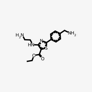 CCOC(=O)c1sc(-c2ccc(CN)cc2)nc1NCCN